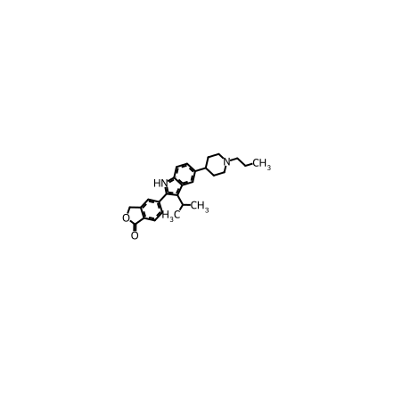 CCCN1CCC(c2ccc3[nH]c(-c4ccc5c(c4)COC5=O)c(C(C)C)c3c2)CC1